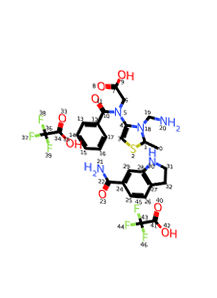 CC1SC=C(N(CC(=O)O)C(=O)c2ccccc2)N1CN.NC(=O)c1ccc2c(c1)NCC2.O=C(O)C(F)(F)F.O=C(O)C(F)(F)F